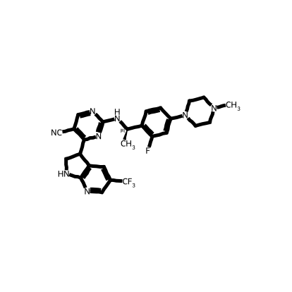 C[C@@H](Nc1ncc(C#N)c(C2CNc3ncc(C(F)(F)F)cc32)n1)c1ccc(N2CCN(C)CC2)cc1F